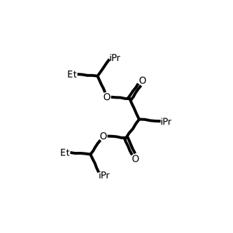 CCC(OC(=O)C(C(=O)OC(CC)C(C)C)C(C)C)C(C)C